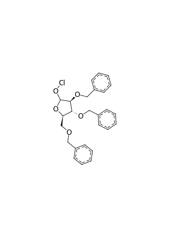 ClOC1O[C@H](COCc2ccccc2)[C@@H](OCc2ccccc2)[C@@H]1OCc1ccccc1